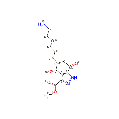 COC(=O)c1n[nH]c2c1C(=O)C(SCCOCCN)=CC2=O